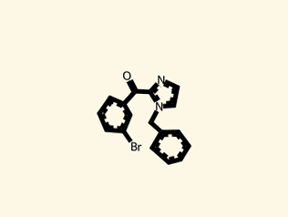 O=C(c1cccc(Br)c1)c1nccn1Cc1ccccc1